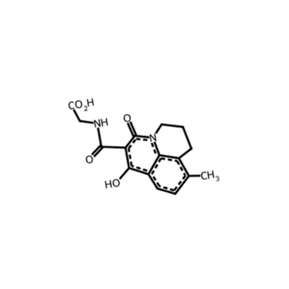 Cc1ccc2c(O)c(C(=O)NCC(=O)O)c(=O)n3c2c1CCC3